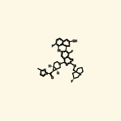 CCc1c(F)ccc2cc(O)cc(-c3ncc4c(N5CC[C@H]6[C@@H](C5)[C@H]6C(=O)n5ccc(C)n5)nc(OC[C@@]56CCCN5C[C@H](F)C6)nc4c3F)c12